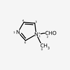 C[N+]1(C=O)C=CN=C1